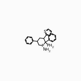 NP1CC(c2ccccc2)CC(c2cccs2)C1(P)c1ccccc1